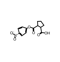 O=C(O)C1CCCC1C(=O)Oc1ccc([N+](=O)[O-])cc1